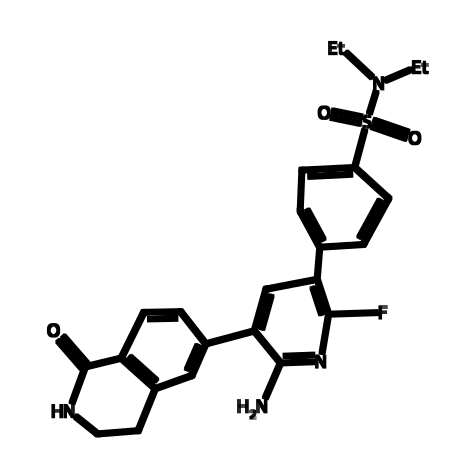 CCN(CC)S(=O)(=O)c1ccc(-c2cc(-c3ccc4c(c3)CCNC4=O)c(N)nc2F)cc1